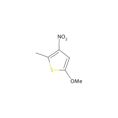 COc1cc([N+](=O)[O-])c(C)s1